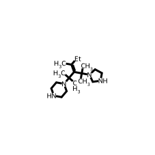 CCC(C)=C(C(C)(C)N1CCNCC1)C(C)(C)N1CCNC1